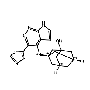 OC12C[C@H]3C[C@@H](C1)C[C@](Nc1c(-c4nnco4)nnc4[nH]ccc14)(C3)C2